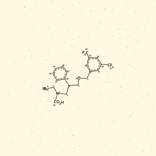 CC(C)(C)CN(CC(COCc1cc(C(F)(F)F)cc(C(F)(F)F)c1)c1ccccc1)C(=O)O